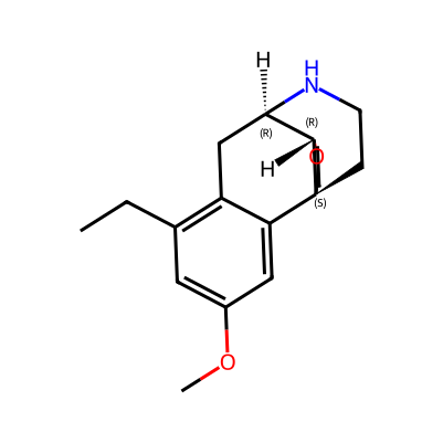 CCc1cc(OC)cc2c1C[C@H]1NCC[C@@]23CCCO[C@@H]13